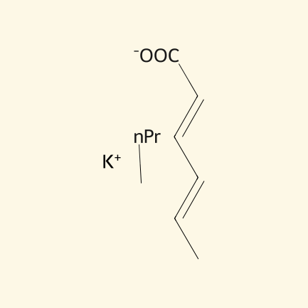 CC=CC=CC(=O)[O-].CCCC.[K+]